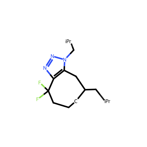 CC(C)CC1CCCC(F)(F)c2nnn(CC(C)C)c2C1